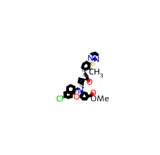 COC(=O)c1ccc2c(c1)N(C[C@@H]1CC[C@H]1C(=O)/C=C/[C@@H]1CCC[C@@H](Sc3ncccn3)[C@H]1C)C[C@@]1(CCCc3cc(Cl)ccc31)CO2